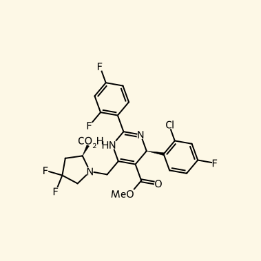 COC(=O)C1=C(CN2CC(F)(F)C[C@H]2C(=O)O)NC(c2ccc(F)cc2F)=N[C@H]1c1ccc(F)cc1Cl